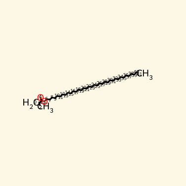 C=C(C)C(=O)OCCCCCCCCCCCCCCCCCCCCCCCCCCCCCCCCCCCC